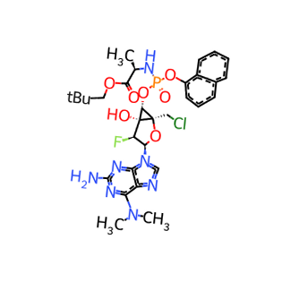 C[C@@H](NP(=O)(Oc1cccc2ccccc12)O[C@H]1[C@]2(O)[C@H](F)[C@H](n3cnc4c(N(C)C)nc(N)nc43)O[C@]12CCl)C(=O)OCC(C)(C)C